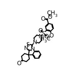 COC(=O)c1ccc(OC)c(S(=O)(=O)N2CCN(c3nc(C4(c5ccccc5)CCC(=O)CC4)ns3)CC2)c1